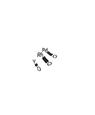 [O]=[Pd].[O]=[Rh].[O]=[Y]